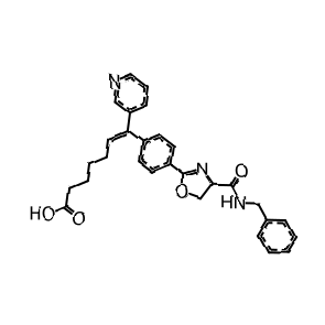 O=C(O)CCCC/C=C(\c1ccc(C2=NC(C(=O)NCc3ccccc3)CO2)cc1)c1cccnc1